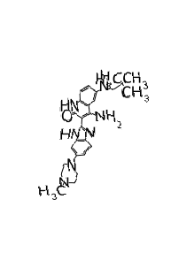 CN1CCN(c2ccc3nc(-c4c(N)c5cc(NCC(C)(C)C)ccc5[nH]c4=O)[nH]c3c2)CC1